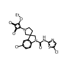 CCOc1c(N2CCC3(C2)CN(C(=O)Nc2ncc(Cl)s2)c2ccc(Cl)cc23)c(=O)c1=O